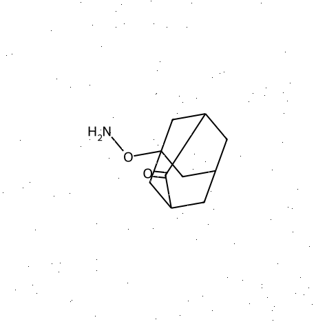 NOC12CC3CC(C1)C(=O)C(C3)C2